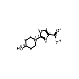 O=C(O)c1coc(N2CCC(O)CC2)n1